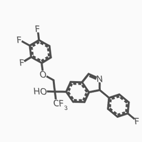 OC(COc1ccc(F)c(F)c1F)(c1ccc2c(c1)C=NC2c1ccc(F)cc1)C(F)(F)F